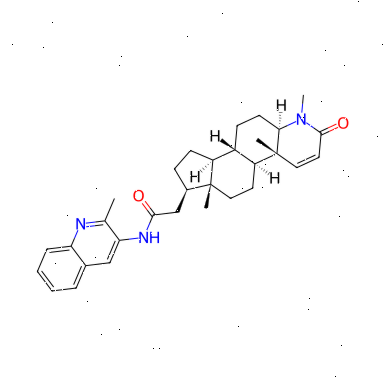 Cc1nc2ccccc2cc1NC(=O)C[C@H]1CC[C@H]2[C@@H]3CC[C@H]4N(C)C(=O)C=C[C@]4(C)[C@H]3CC[C@]12C